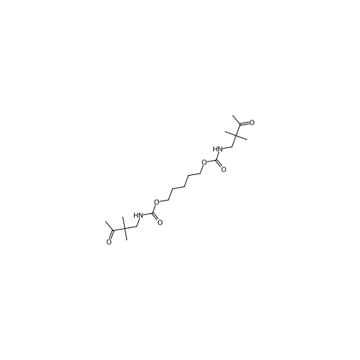 CC(=O)C(C)(C)CNC(=O)OCCCCCOC(=O)NCC(C)(C)C(C)=O